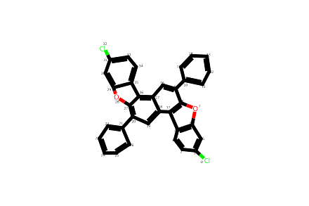 Clc1ccc2c(c1)oc1c(-c3ccccc3)cc3c(cc(-c4ccccc4)c4oc5cc(Cl)ccc5c43)c12